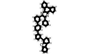 c1ccc(-c2nc3c4ccccc4c4ccccc4c3nc2-c2cccc(-c3ccc(-c4cccc(-c5cccc6c5oc5ccccc56)c4)cc3)c2)cc1